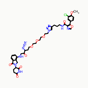 COc1ccc(-c2ocnc2C(=O)NCCCc2cn(CCOCCOCCOCCC(N=[N+]=[N-])C(=O)CNc3cccc4c3CN(C3CCC(=O)NC3=O)C4=O)nn2)cc1Cl